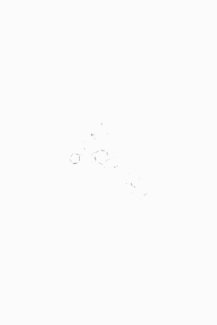 c1csc(C2CN3CCCC3c3cc(OCCCN4CCOCC4)ccc32)c1